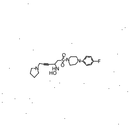 O=S(=O)(CC(C#CCN1CCCC1)NO)N1CCN(c2ccc(F)cc2)CC1